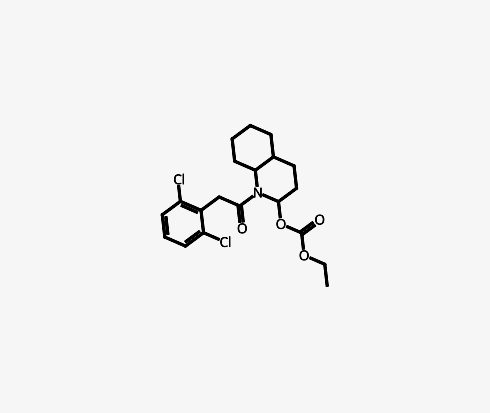 CCOC(=O)OC1CCC2CCCCC2N1C(=O)Cc1c(Cl)cccc1Cl